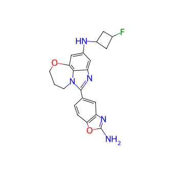 Nc1nc2cc(-c3nc4cc(NC5CC(F)C5)cc5c4n3CCCO5)ccc2o1